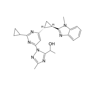 Cc1nc(C(C)O)n(-c2cc([C@@H]3C[C@H]3c3nc4ccccc4n3C)nc(C3CC3)n2)n1